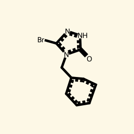 O=c1[nH]nc(Br)n1Cc1ccccc1